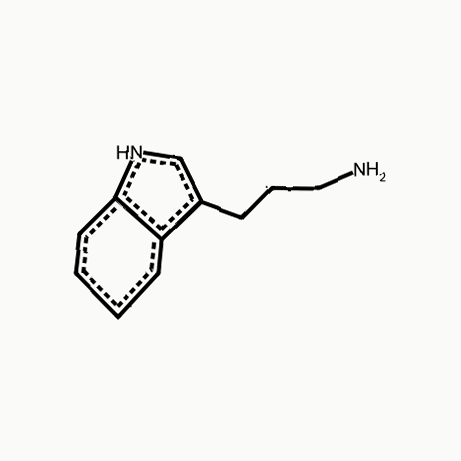 NC[CH]Cc1c[nH]c2ccccc12